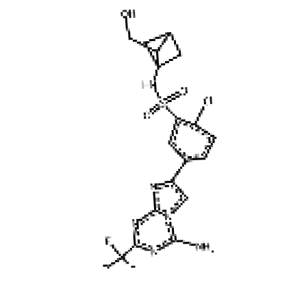 Nc1nc(C(F)(F)F)nc2nc(-c3ccc(Cl)c(S(=O)(=O)NC45CC(C4)C5CO)c3)cn12